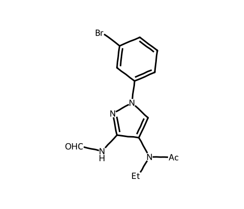 CCN(C(C)=O)c1cn(-c2cccc(Br)c2)nc1NC=O